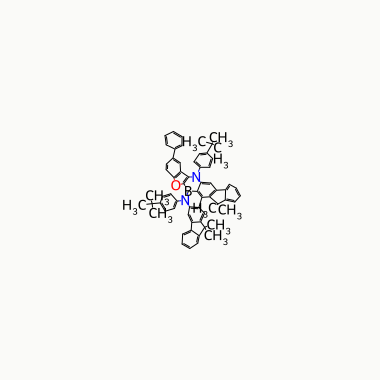 CC(C)(C)c1ccc(N2B3c4oc5ccc(-c6ccccc6)cc5c4N(c4ccc(C(C)(C)C)cc4)c4cc5c(c(c43)-c3cc4c(cc32)-c2ccccc2C4(C)C)C(C)(C)c2ccccc2-5)cc1